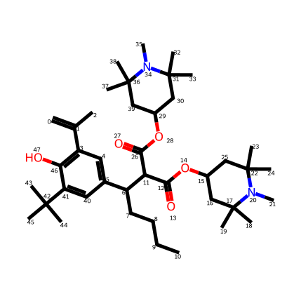 C=C(C)c1cc(C(CCCC)C(C(=O)OC2CC(C)(C)N(C)C(C)(C)C2)C(=O)OC2CC(C)(C)N(C)C(C)(C)C2)cc(C(C)(C)C)c1O